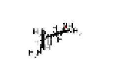 NCCNCCNCCN(CCN)CCNCCNCCNCCN(CCN)CCN